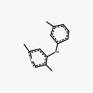 Cc1cccc(Pc2cc(C)ccc2C)c1